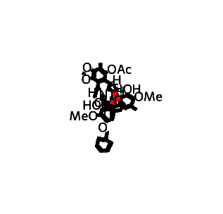 COc1cc2c(cc1OCc1ccccc1)CCN[C@]21CS[C@@H]2c3c(OC(C)=O)c(C)c4c(c3[C@H](COC1=O)N1C2[C@@H]2c3c(cc(C)c(OC)c3O)C[C@H]([C@@H]1O)N2C)OCO4